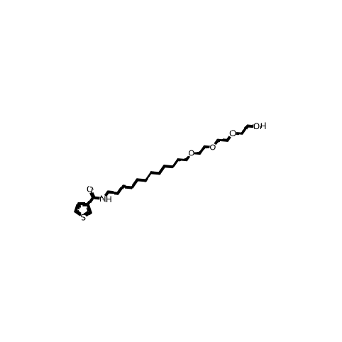 O=C(NCCCCCCCCCCCCOCCOCCOCCO)c1ccsc1